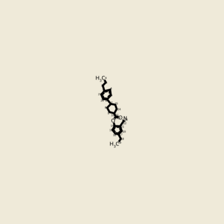 CCCc1ccc(C2CCC(C(=O)Oc3ccc(CC)cc3C#N)CC2)cc1